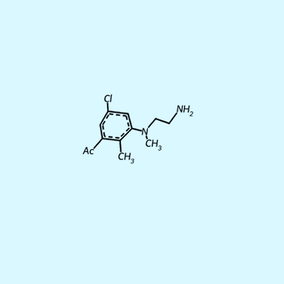 CC(=O)c1cc(Cl)cc(N(C)CCN)c1C